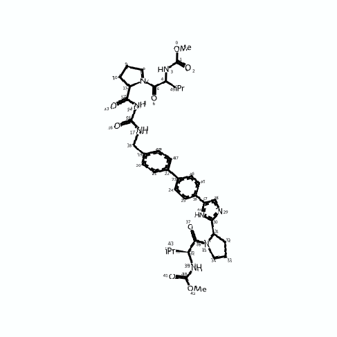 COC(=O)NC(C(=O)N1CCCC1C(=O)NC(=O)NCc1ccc(-c2ccc(-c3cnc(C4CCCN4C(=O)[C@@H](NC(=O)OC)C(C)C)[nH]3)cc2)cc1)C(C)C